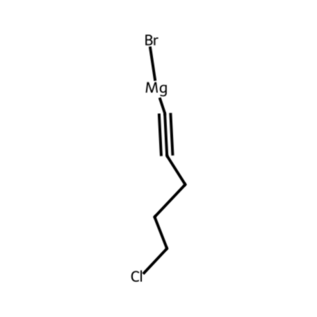 ClCCCC#[C][Mg][Br]